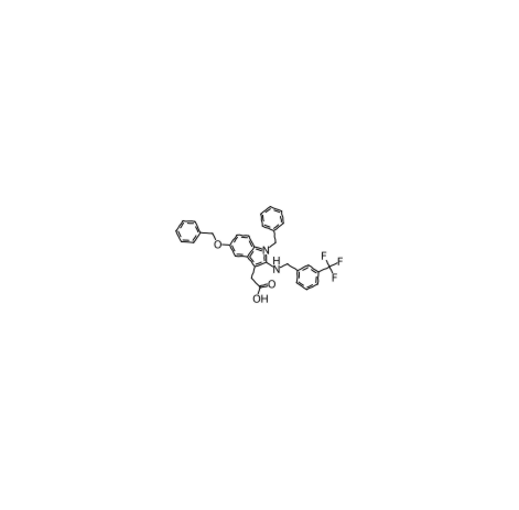 O=C(O)Cc1c(NCc2cccc(C(F)(F)F)c2)n(Cc2ccccc2)c2ccc(OCc3ccccc3)cc12